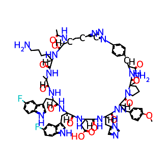 COc1ccc(C[C@@H]2NC(=O)[C@H](Cc3cnc[nH]3)NC(=O)[C@H](CC(=O)O)NC(=O)[C@H](Cc3c[nH]c4ccc(F)cc34)NC(=O)[C@H](Cc3c[nH]c4ccc(F)cc34)NC(=O)[C@@H](C)NC(=O)[C@H](CCCCN)NC(=O)[C@@H](NC(C)=O)CCCc3cn(nn3)-c3ccc(cc3)C[C@@H](C(N)=O)NC(=O)[C@]3(C)CCCN3C2=O)cc1